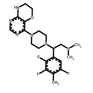 Cc1c(F)cc(C(CN(C)C)N2CCN(c3ncnc4c3OCCN4)CC2)c(F)c1F